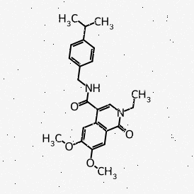 CCn1cc(C(=O)NCc2ccc(C(C)C)cc2)c2cc(OC)c(OC)cc2c1=O